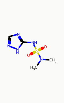 CN(C)S(=O)(=O)Nc1ncn[nH]1